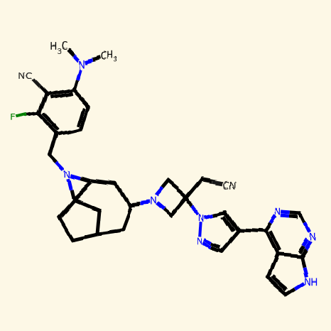 CN(C)c1ccc(CN2C3CC(N4CC(CC#N)(n5cc(-c6ncnc7[nH]ccc67)cn5)C4)CC4CCC32C4)c(F)c1C#N